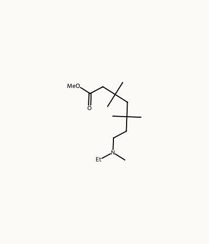 CCN(C)CCC(C)(C)CC(C)(C)CC(=O)OC